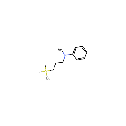 CCS(C)(C)CCCN(C(C)=O)c1ccccc1